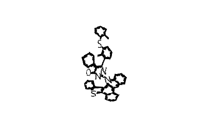 Cc1ccccc1Sc1cccc(-c2nc(-n3c4ccccc4c4c5ccccc5c5sc6ccccc6c5c43)nc3oc4ccccc4c23)c1C